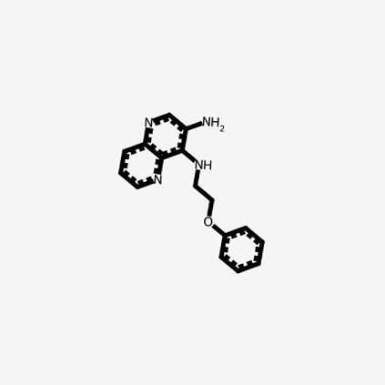 Nc1cnc2cccnc2c1NCCOc1ccccc1